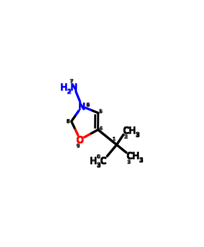 CC(C)(C)C1=CN(N)CO1